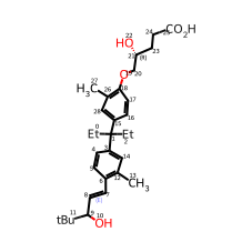 CCC(CC)(c1ccc(/C=C/C(O)C(C)(C)C)c(C)c1)c1ccc(OC[C@H](O)CCC(=O)O)c(C)c1